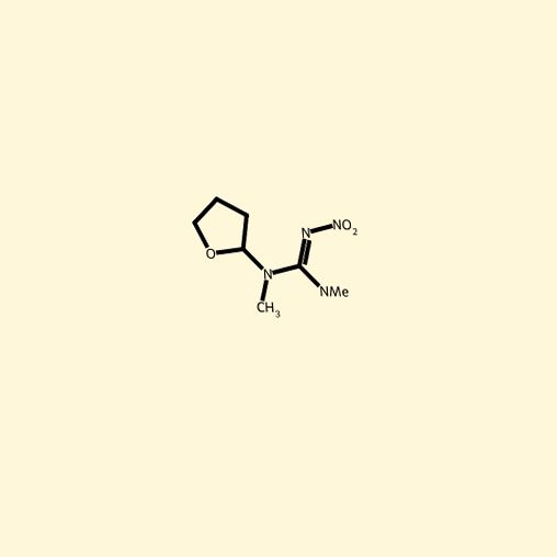 CNC(=N[N+](=O)[O-])N(C)C1CCCO1